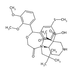 COc1cccc(C2OCC(=O)[N+](CC(C)(C)C)([C@@H]3CCNC[C@@]3(C(C)=O)C(=O)O)c3ccc(SC)cc32)c1OC